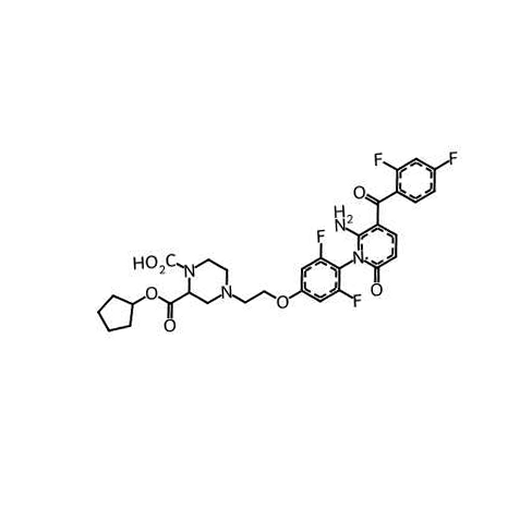 Nc1c(C(=O)c2ccc(F)cc2F)ccc(=O)n1-c1c(F)cc(OCCN2CCN(C(=O)O)C(C(=O)OC3CCCC3)C2)cc1F